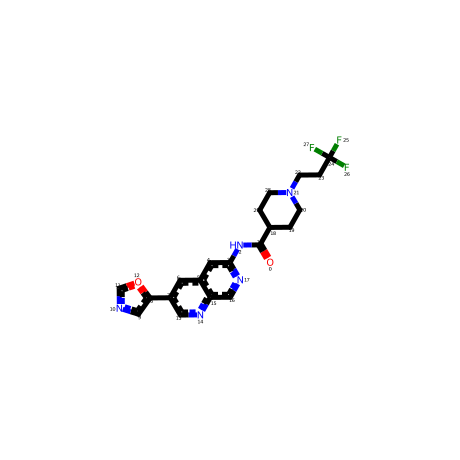 O=C(Nc1cc2cc(-c3cnco3)cnc2cn1)C1CCN(CCC(F)(F)F)CC1